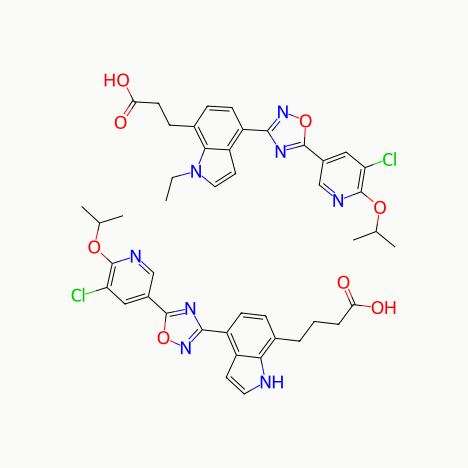 CC(C)Oc1ncc(-c2nc(-c3ccc(CCCC(=O)O)c4[nH]ccc34)no2)cc1Cl.CCn1ccc2c(-c3noc(-c4cnc(OC(C)C)c(Cl)c4)n3)ccc(CCC(=O)O)c21